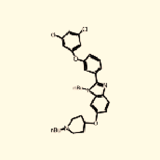 CCCCN1CCC(Oc2ccc3nc(-c4cccc(Oc5cc(Cl)cc(Cl)c5)c4)n(CCCC)c3c2)CC1